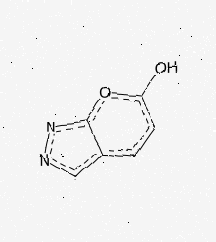 Oc1ccc2[c]nnc-2o1